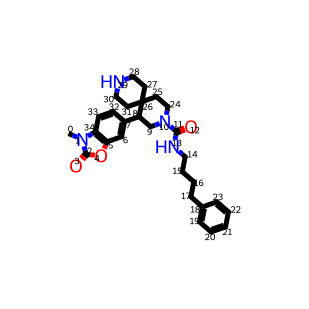 Cn1c(=O)oc2cc(C3CN(C(=O)NCCCCc4ccccc4)CCC34CCNCC4)ccc21